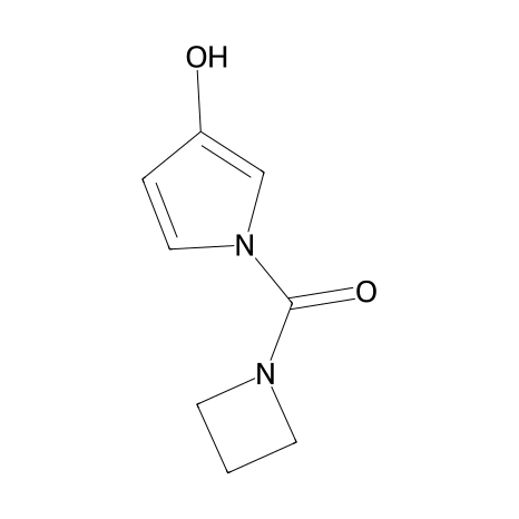 O=C(N1CCC1)n1ccc(O)c1